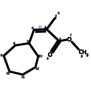 COC(=O)/C(I)=C\C1CCCCCC1